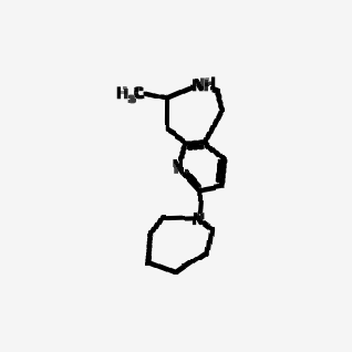 CC1Cc2nc(N3CCCCCC3)ccc2CCN1